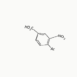 CC(=O)c1ccc(C(=O)O)cc1[N+](=O)[O-]